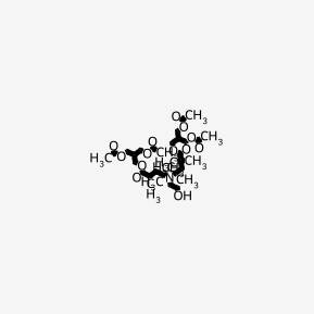 CC(=O)OCC(COC(C)=O)COC(=O)C(C)CC(C)(C)N(CCO)C(C)(C)CC(C)(C)C(=O)OCC(COC(C)=O)COC(C)=O